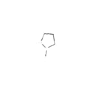 [S]N1CCCO1